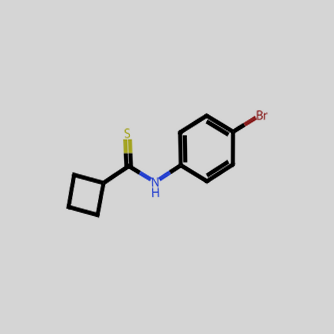 S=C(Nc1ccc(Br)cc1)C1CCC1